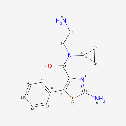 NCCN(C(=O)c1nc(N)sc1-c1ccccc1)C1CC1